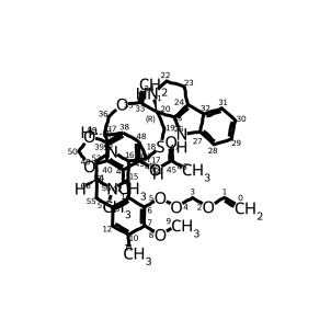 C=COCOOc1c(OC)c(C)cc2c1C1C3[C@@H]4SC[C@]5(NCCc6c5[nH]c5ccccc65)C(=C)OC[C@@H](c5c6c(c(C)c(OC(C)=O)c54)OCO6)N3C[C@@H](C2)N1C